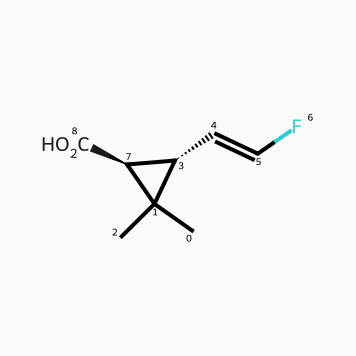 CC1(C)[C@@H](C=CF)[C@@H]1C(=O)O